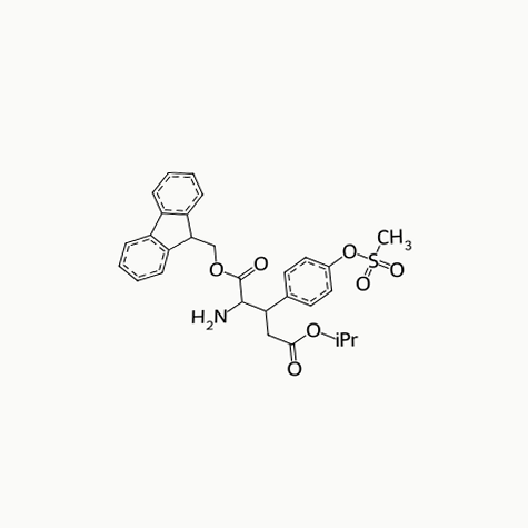 CC(C)OC(=O)CC(c1ccc(OS(C)(=O)=O)cc1)C(N)C(=O)OCC1c2ccccc2-c2ccccc21